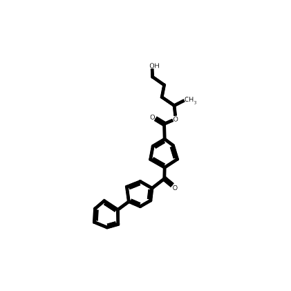 CC(CCCO)OC(=O)c1ccc(C(=O)c2ccc(-c3ccccc3)cc2)cc1